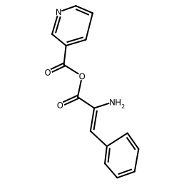 NC(=Cc1ccccc1)C(=O)OC(=O)c1cccnc1